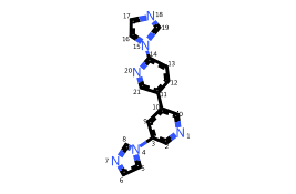 [c]1ncc(-n2ccnc2)cc1-c1ccc(-n2ccnc2)nc1